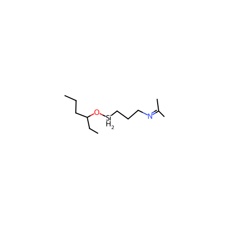 CCCC(CC)O[SiH2]CCCN=C(C)C